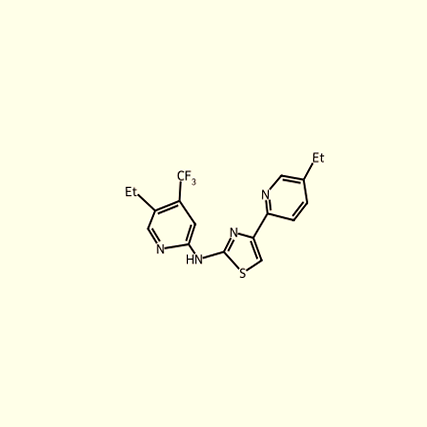 CCc1ccc(-c2csc(Nc3cc(C(F)(F)F)c(CC)cn3)n2)nc1